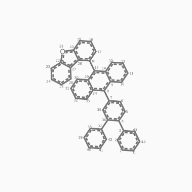 c1ccc(-c2ccc(-c3c4ccccc4c(-c4cccc5oc6ccccc6c45)c4ccccc34)cc2-c2ccccc2)cc1